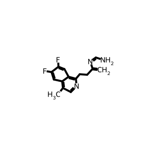 C=C(CCc1ncc(C)c2cc(F)c(F)cc12)/N=C\N